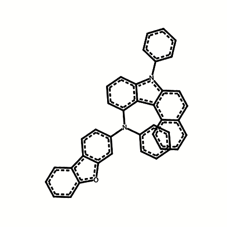 c1ccc(N(c2ccc3c(c2)oc2ccccc23)c2cccc3c2c2c4ccccc4ccc2n3-c2ccccc2)cc1